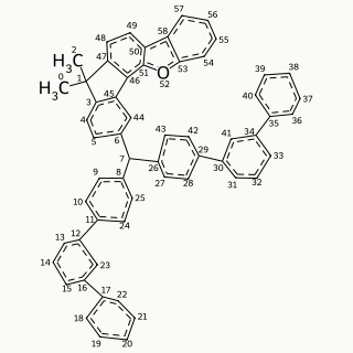 CC1(C)c2ccc(C(c3ccc(-c4cccc(-c5ccccc5)c4)cc3)c3ccc(-c4cccc(-c5ccccc5)c4)cc3)cc2-c2c1ccc1c2oc2ccccc21